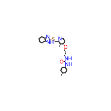 Cc1ccc(NC(=O)NCCCOc2ccnc(CSc3nc4ccccc4[nH]3)c2C)cc1